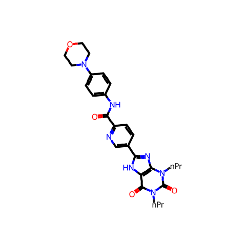 CCCn1c(=O)c2[nH]c(-c3ccc(C(=O)Nc4ccc(N5CCOCC5)cc4)nc3)nc2n(CCC)c1=O